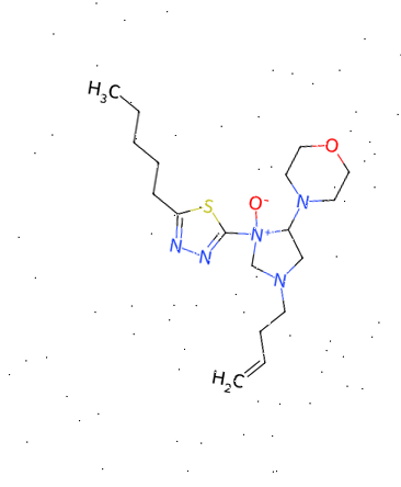 C=CCCN1CC(N2CCOCC2)[N+]([O-])(c2nnc(CCCCC)s2)C1